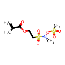 C=C(C)C(=O)OCCS(=O)(=O)N(C)OS(=O)(=O)C(F)(F)F